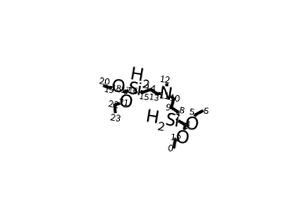 CCOC(OCC)[SiH2]CCCN(C)CCC[SiH2]C(OCC)OCC